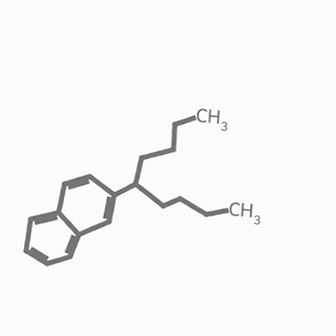 CCCCC(CCCC)c1ccc2ccccc2c1